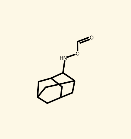 O=CONC1C2CC3CC(C2)CC1C3